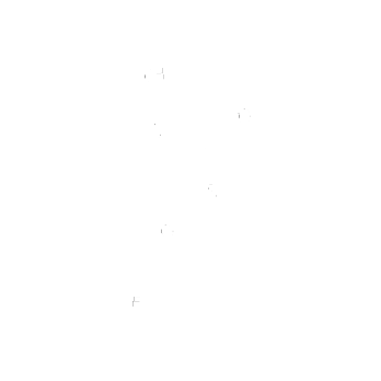 O=C(SO)SOCF